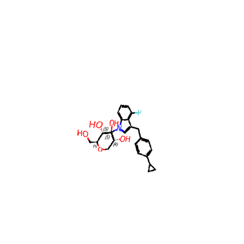 OC[C@@H]1OC[C@@H](O)[C@@](O)(n2cc(Cc3ccc(C4CC4)cc3)c3c(F)cccc32)[C@H]1O